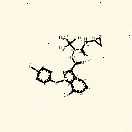 CC(C)(C)[C@H](NC(=O)c1nn(Cc2ccc(F)cc2)c2c(F)cccc12)C(=O)NC1CC1